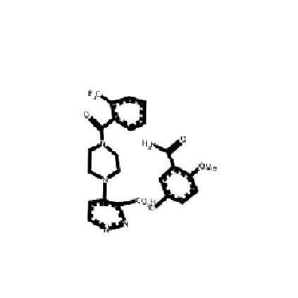 COc1ccc(Cl)cc1C(N)=O.O=C(O)c1nnccc1N1CCN(C(=O)c2ccccc2C(F)(F)F)CC1